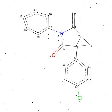 C=C1C2CC2(c2ccc(Cl)cc2)C(=O)N1c1ccccc1